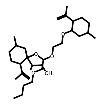 [CH2]CCCOCC(OCCOC1CC(C)CCC1C(=C)C)OC1(C(C)CO)CC(C)CCC1C(=C)C